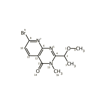 COC(C)c1nc2nc(Br)ccc2c(=O)n1C